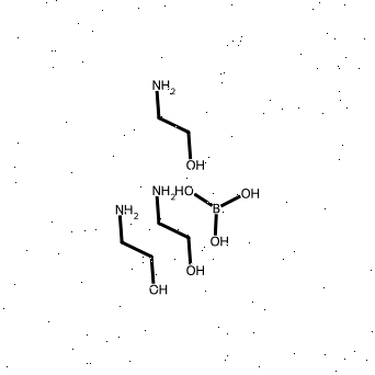 NCCO.NCCO.NCCO.OB(O)O